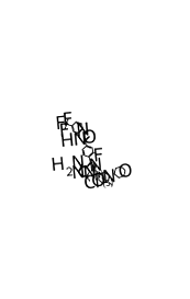 C[C@H]1CO[C@@H](c2nc(-c3ccc(C(=O)Nc4cc(C(F)(F)F)ccn4)cc3F)c3c(N)ncc(Cl)n23)CN1C1CCOCC1